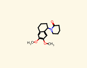 COc1cc2c(cc1OC)C(N1CCCCC1=O)CCC2